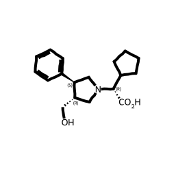 O=C(O)[C@@H](C1CCCC1)N1C[C@H](CO)[C@@H](c2ccccc2)C1